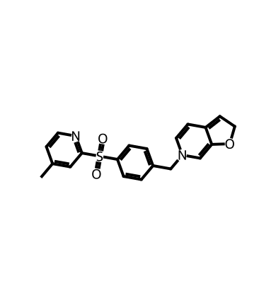 Cc1ccnc(S(=O)(=O)c2ccc(CN3C=CC4=CCOC4=C3)cc2)c1